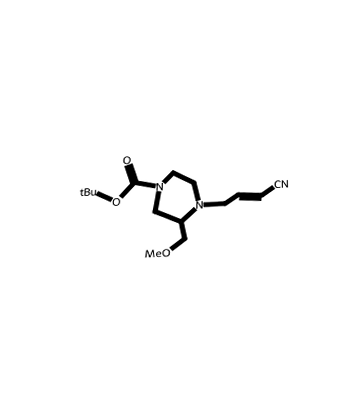 COCC1CN(C(=O)OC(C)(C)C)CCN1CC=CC#N